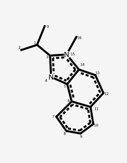 CC(C)c1nc2c3ccccc3ccc2n1C